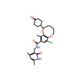 Cc1cc(C)c(CNC(=O)c2cc(Cl)c3c(c2C)OC(C2CCC(=O)CC2)CCCCO3)c(=O)[nH]1